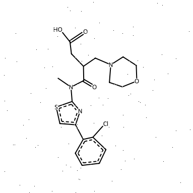 CN(C(=O)C(CC(=O)O)CN1CCOCC1)c1nc(-c2ccccc2Cl)cs1